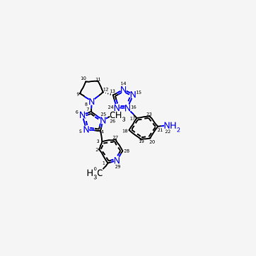 Cc1cc(-c2nnc(N3CCC[C@@H]3c3nnn(-c4cccc(N)c4)n3)n2C)ccn1